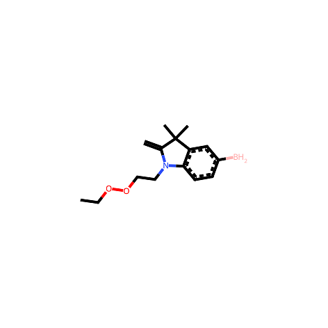 Bc1ccc2c(c1)C(C)(C)C(=C)N2CCOOCC